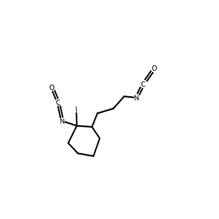 O=C=NCCCC1CCCCC1(I)N=C=O